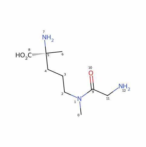 CN(CCC[C@](C)(N)C(=O)O)C(=O)CN